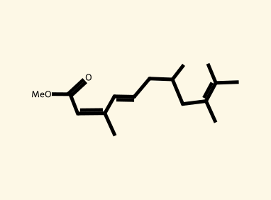 COC(=O)C=C(C)C=CCC(C)CC(C)=C(C)C